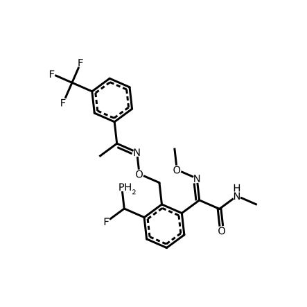 CNC(=O)/C(=N/OC)c1cccc(C(F)P)c1CO/N=C(\C)c1cccc(C(F)(F)F)c1